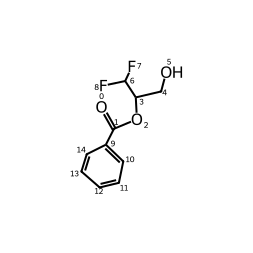 O=C(OC(CO)C(F)F)c1ccccc1